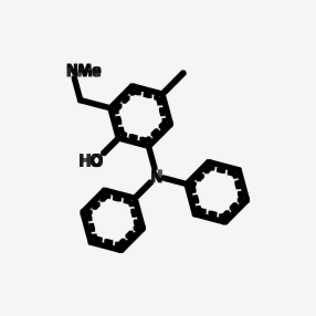 CNCc1cc(C)cc(N(c2ccccc2)c2ccccc2)c1O